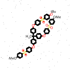 COc1ccc(S(=O)(=O)c2ccc(Oc3ccc(C(C)(c4ccc(Oc5ccc(S(=O)(=O)c6ccc(OC)cc6)cc5)cc4)c4ccc(Oc5ccc(S(=O)(=O)c6ccc(OC(C)(C)C)cc6)cc5)cc4)cc3)cc2)cc1